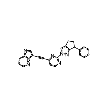 C(#Cc1cnc2cccnn12)c1ccnc(-n2cc3c(n2)C(c2ccccc2)CC3)n1